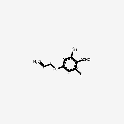 C=CCOc1cc(O)c(C=O)c(F)c1